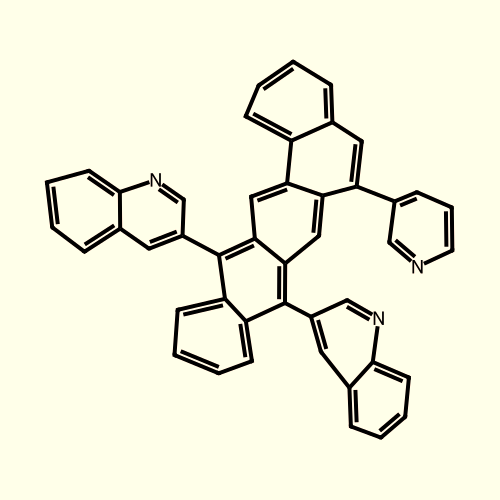 c1cncc(-c2cc3ccccc3c3cc4c(-c5cnc6ccccc6c5)c5ccccc5c(-c5cnc6ccccc6c5)c4cc23)c1